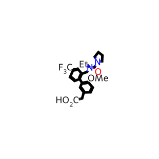 CCN(Cc1cc(C(F)(F)F)ccc1-c1cc(CC(=O)O)ccc1OC)C(=O)N1CCCC1